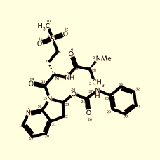 CN[C@@H](C)C(=O)N[C@@H](CCS(C)(=O)=O)C(=O)N1c2ncccc2CC1OC(=O)Nc1ccccc1